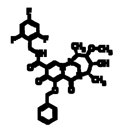 CO[C@H]1[C@@H](O)[C@H](C)N2CN([C@@H]1C)n1cc(C(=O)NCc3c(F)cc(F)cc3F)c(=O)c(OCc3ccccc3)c1C2=O